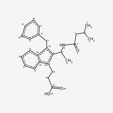 CC(C)CC(=O)NC(C)c1c(Cc2cccnc2)c2ccccc2n1CCC(=O)O